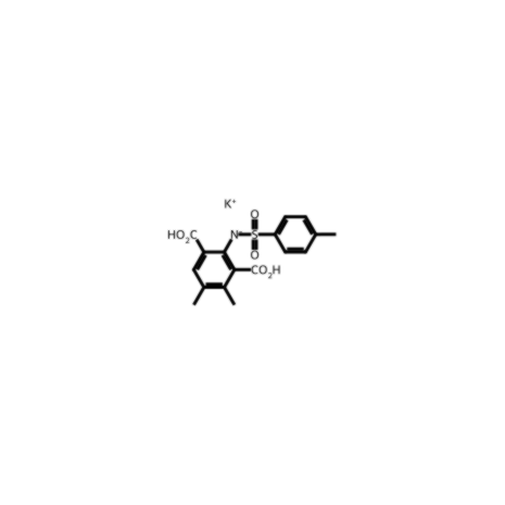 Cc1ccc(S(=O)(=O)[N-]c2c(C(=O)O)cc(C)c(C)c2C(=O)O)cc1.[K+]